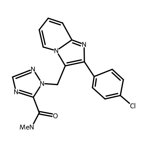 CNC(=O)c1ncnn1Cc1c(-c2ccc(Cl)cc2)nc2ccccn12